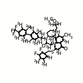 [2H]c1c([2H])c(F)c(F)c(CSc2c([2H])c(=O)c3c([2H])c(C)c([2H])c([2H])c3n2C([2H])([2H])C(=O)N(C2CCN(CC([2H])([2H])OC)CC2)C([2H])([2H])c2c([2H])c([2H])c(-c3c([2H])c([2H])c(C(F)(F)F)c([2H])c3[2H])c([2H])c2[2H])c1[2H]